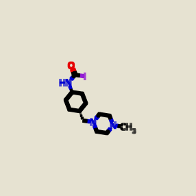 CN1CCN(C[C@H]2CC[C@H](NC(=O)I)CC2)CC1